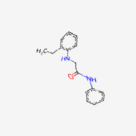 CCc1ccccc1NCC(=O)Nc1ccccc1